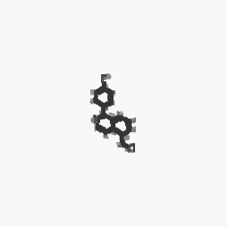 Fc1ccc(-c2nccc3c(CCl)cccc23)cc1